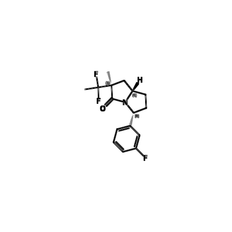 CC(F)(F)[C@@]1(C)C[C@@H]2CC[C@H](c3cccc(F)c3)N2C1=O